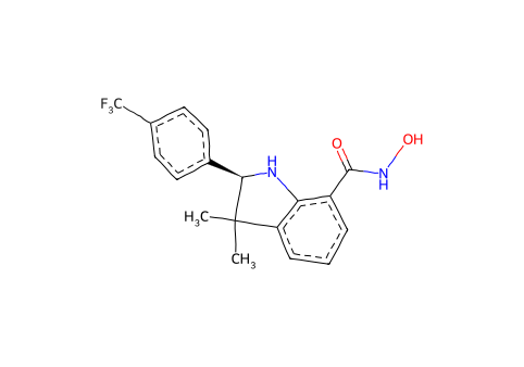 CC1(C)c2cccc(C(=O)NO)c2N[C@@H]1c1ccc(C(F)(F)F)cc1